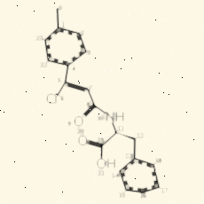 Cc1ccc(/C(Cl)=C/C(=O)N[C@@H](Cc2ccccc2)C(=O)O)cc1